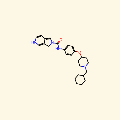 O=C(Nc1ccc(OC2CCN(CC3CCCCC3)CC2)cc1)N1C=C2C=CNC=C2C1